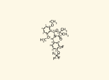 COc1cccc(OC)c1C1OC(C)(C)C(=O)N1Cc1ccc(OC(F)(F)F)c(F)c1